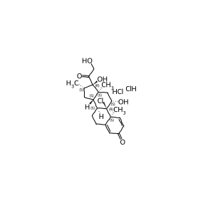 C[C@H]1C[C@H]2[C@@H]3CCC4=CC(=O)C=C[C@]4(C)[C@@]3(Cl)[C@@H](O)C[C@]2(C)[C@@]1(O)C(=O)CO.Cl.Cl